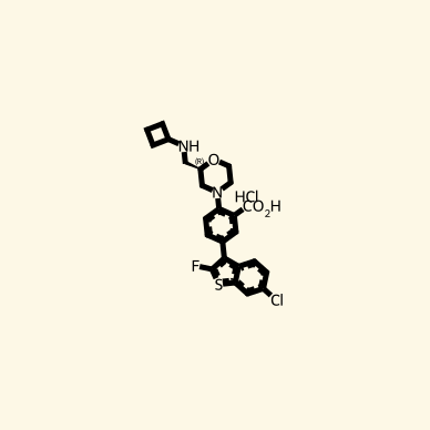 Cl.O=C(O)c1cc(-c2c(F)sc3cc(Cl)ccc23)ccc1N1CCO[C@H](CNC2CCC2)C1